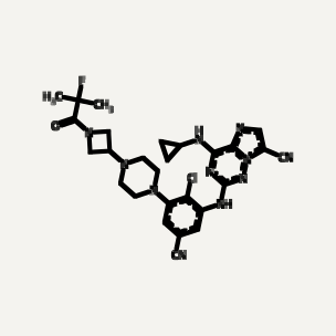 CC(C)(F)C(=O)N1CC(N2CCN(c3cc(C#N)cc(Nc4nc(NC5CC5)c5ncc(C#N)n5n4)c3Cl)CC2)C1